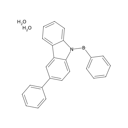 O.O.[B](c1ccccc1)n1c2ccccc2c2cc(-c3ccccc3)ccc21